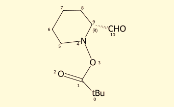 CC(C)(C)C(=O)ON1CCCC[C@@H]1C=O